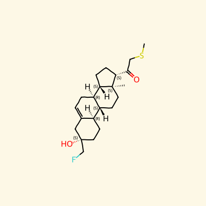 CSCC(=O)[C@H]1CC[C@H]2[C@@H]3CC=C4C[C@](O)(CF)CC[C@@H]4[C@H]3CC[C@]12C